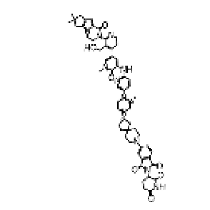 C[C@H]1CN([C@H]2CCC3(CCN(c4ccc5c(c4)C(=O)N(C4CCC(=O)NC4=O)C5=O)CC3)C2)CCN1c1ccc(Nc2cc(-c3ccnc(N4CCn5c(cc6c5CC(C)(C)C6)C4=O)c3CO)cn(C)c2=O)nc1